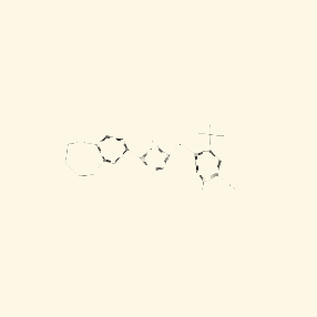 Cc1cc(Cc2csc(-c3ccc4c(c3)CCCCC4)n2)c(C(F)(F)F)cc1N